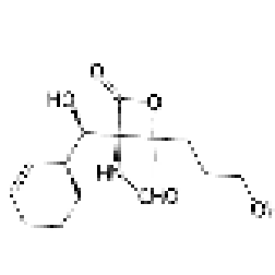 C[C@@]1(CCCO)OC(=O)[C@@]1(NC=O)[C@H](O)[C@@H]1C=CCCC1